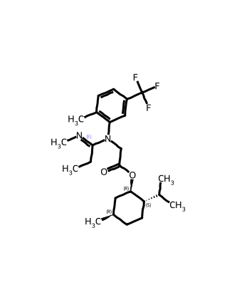 CC/C(=N\C)N(CC(=O)O[C@@H]1C[C@H](C)CC[C@H]1C(C)C)c1cc(C(F)(F)F)ccc1C